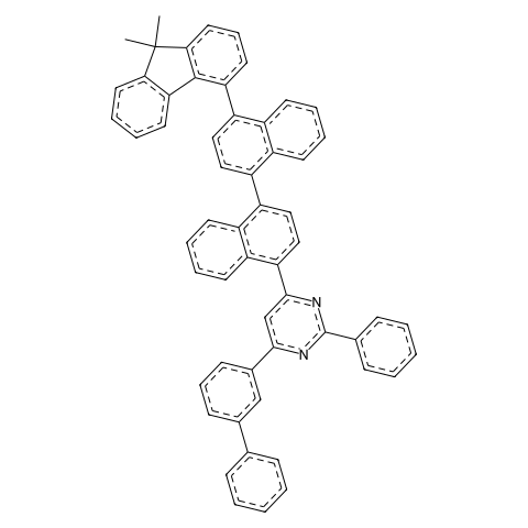 CC1(C)c2ccccc2-c2c(-c3ccc(-c4ccc(-c5cc(-c6cccc(-c7ccccc7)c6)nc(-c6ccccc6)n5)c5ccccc45)c4ccccc34)cccc21